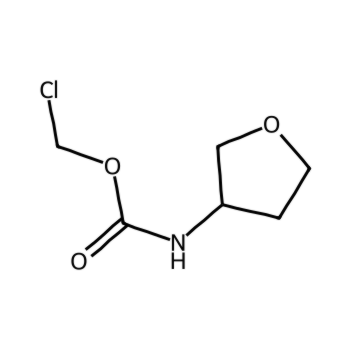 O=C(NC1CCOC1)OCCl